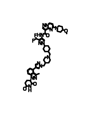 COC1CCN(c2ccn3ncc(C(=O)Nc4cn(C5CCC(CN6CCC(Cn7cc(-c8cccc9c8c(C)nn9C8CCC(=O)NC8=O)cn7)CC6)CC5)nc4C(F)F)c3n2)CC1